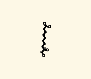 O=C(Cl)CCCCCCCC(=O)CCl